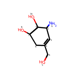 NC1C=C(CO)CC(O)C1O